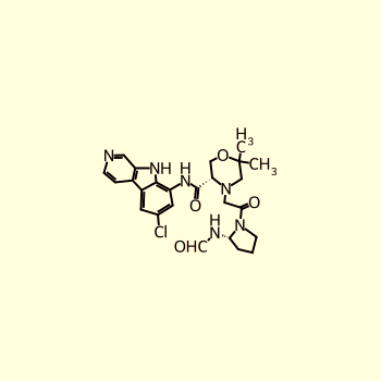 CC1(C)CN(CC(=O)N2CCC[C@@H]2NC=O)[C@H](C(=O)Nc2cc(Cl)cc3c2[nH]c2cnccc23)CO1